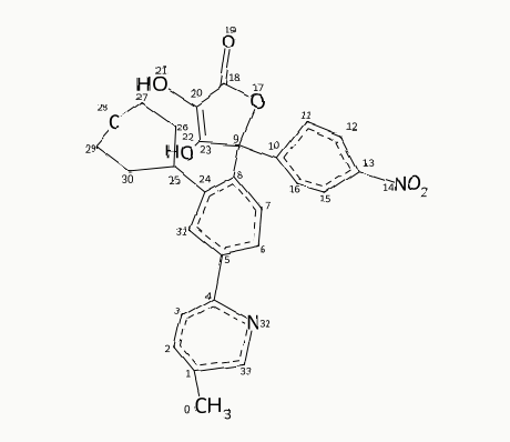 Cc1ccc(-c2ccc(C3(c4ccc([N+](=O)[O-])cc4)OC(=O)C(O)=C3O)c(C3CCCCC3)c2)nc1